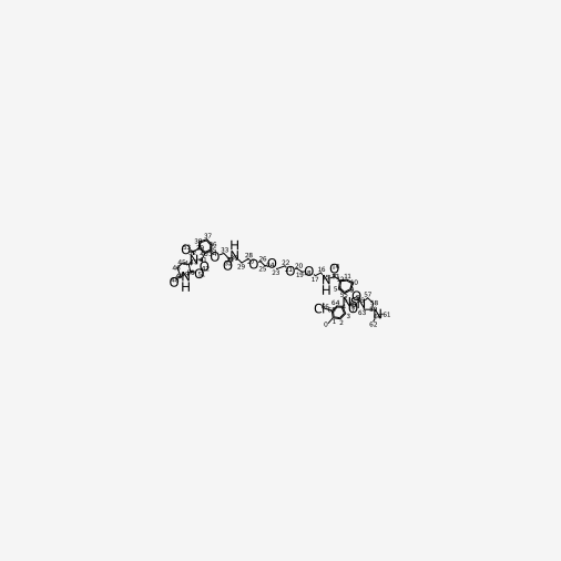 Cc1ccc(N=S(=O)(Oc2ccc(C(=O)NCCOCCOCCOCCOCCNC(=O)COc3cccc4c3C(=O)N(C3CCC(=O)NC3=O)C4=O)cc2)N2CC[C@H](N(C)C)C2)cc1Cl